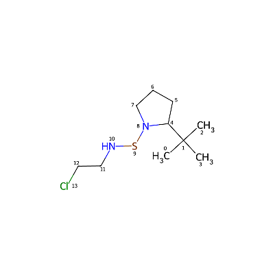 CC(C)(C)C1CCCN1SNCCCl